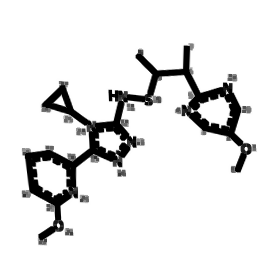 COc1cnc(C(C)C(C)SNc2nnc(-c3cccc(OC)n3)n2C2CC2)nc1